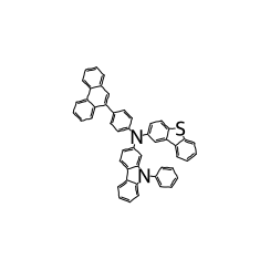 c1ccc(-n2c3ccccc3c3ccc(N(c4ccc(-c5cc6ccccc6c6ccccc56)cc4)c4ccc5sc6ccccc6c5c4)cc32)cc1